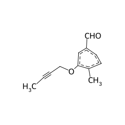 CC#CCOc1cc(C=O)ccc1C